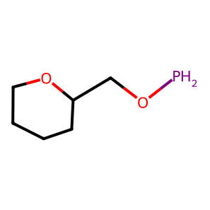 POCC1CCCCO1